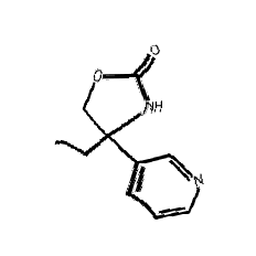 CCC1(c2cccnc2)COC(=O)N1